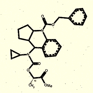 COC(=O)[C@H](C)OC(=O)N(C1CC1)C1c2ccccc2N(C(=O)OCc2ccccc2)C2CCCC21